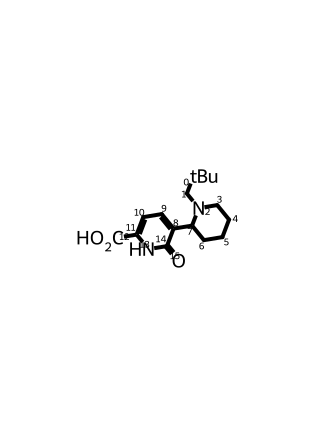 CC(C)(C)CN1CCCCC1c1ccc(C(=O)O)[nH]c1=O